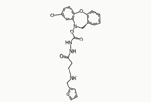 O=C(CCNCc1ccco1)NNC(=O)ON1Cc2ccccc2Oc2ccc(Cl)cc21